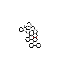 CC1(c2ccccc2)c2ccccc2-c2cc(N(c3ccccc3-c3ccccc3-c3ccccc3-c3ccccc3)c3cccc4sc5ccccc5c34)ccc21